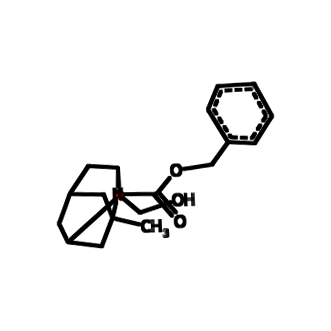 CC12CC3CC(C1)C(CO)C(C3)N2C(=O)OCc1ccccc1